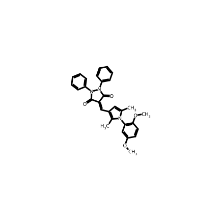 COc1ccc(OC)c(-n2c(C)cc(C=C3C(=O)N(c4ccccc4)N(c4ccccc4)C3=O)c2C)c1